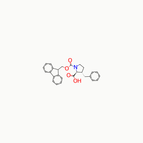 O=C(O)[C@@H]1[C@@H](Cc2ccccc2)CCN1C(=O)OCC1c2ccccc2-c2ccccc21